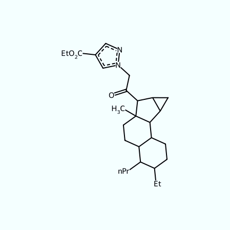 CCCC1C(CC)CCC2C1CCC1(C)C(C(=O)Cn3cc(C(=O)OCC)cn3)C3CC3C21